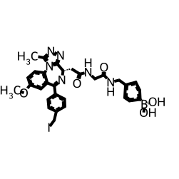 COc1ccc2c(c1)C(c1ccc(CI)cc1)=N[C@@H](CC(=O)NCC(=O)NCc1ccc(B(O)O)cc1)c1nnc(C)n1-2